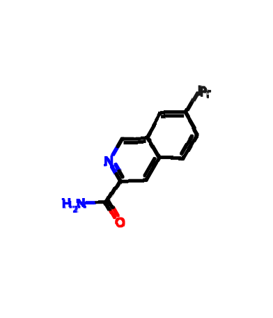 CC(C)c1ccc2cc(C(N)=O)ncc2c1